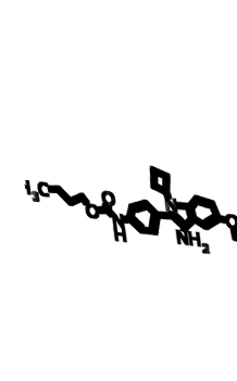 CCCCOC(=O)Nc1ccc(-c2c(N)c3cc(OCC)ccc3n2C2CCC2)cc1